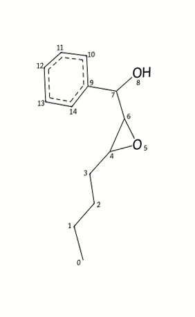 CCCCC1OC1C(O)c1ccccc1